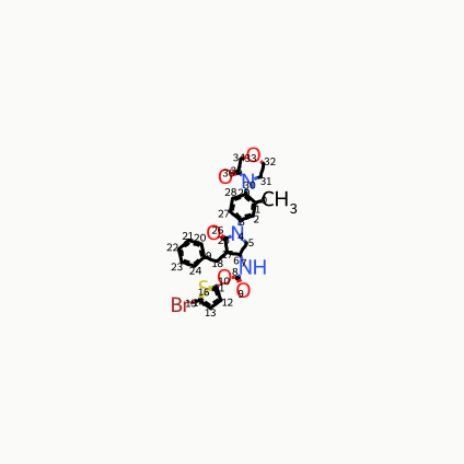 Cc1cc(N2CC(NC(=O)Oc3ccc(Br)s3)C(Cc3ccccc3)C2=O)ccc1N1CCOCC1=O